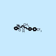 CC(CCn1nnc2ccccc2c1=O)C(O)CCc1ccc(-c2ccc(C(F)(F)F)cc2)cc1